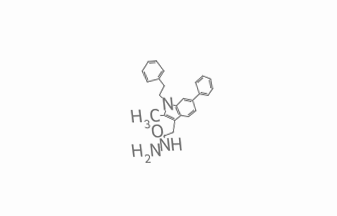 Cc1c(CC(=O)NN)c2ccc(-c3ccccc3)cc2n1CCc1ccccc1